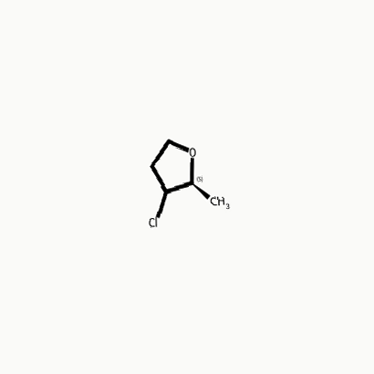 C[C@@H]1OCCC1Cl